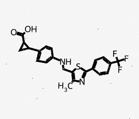 Cc1nc(-c2ccc(C(F)(F)F)cc2)sc1CNc1ccc(C2CC2C(=O)O)cc1